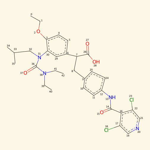 CCOc1ccc(C(Cc2ccc(NC(=O)c3c(Cl)cncc3Cl)cc2)C(=O)O)cc1N(CC(C)C)C(=O)N(CC)CC